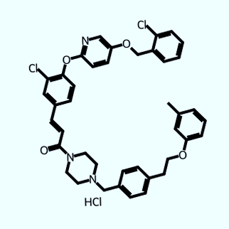 Cc1cccc(OCCc2ccc(CN3CCN(C(=O)C=Cc4ccc(Oc5ccc(OCc6ccccc6Cl)cn5)c(Cl)c4)CC3)cc2)c1.Cl